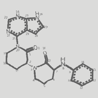 O=C1[C@H](N2CCCC(Nc3ccccc3)C2=O)CCCN1c1ncnc2[nH]ccc12